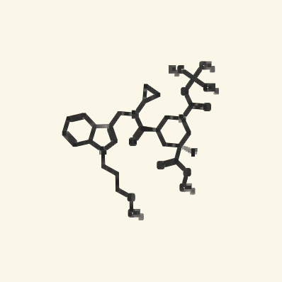 COCCCN1C=C(CN(C(=O)[C@H]2CN(C(=O)OC(C)(C)C)C[C@@](F)(C(=O)OC)C2)C2CC2)C2C=CC=CC21